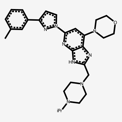 Cc1cccc(-c2ccn(-c3cc(N4CCOCC4)c4nc(CN5CCN(C(C)C)CC5)[nH]c4n3)n2)c1